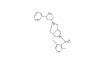 Cc1cccc(C)c1C(=O)N1CC2CN(C(C)CC(N)c3ccccc3)CC2C1